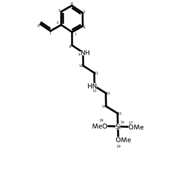 C=Cc1ccccc1CNCCNCCC[Si](OC)(OC)OC